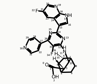 O=C(O)[C@H]1C2CCC(CC2)[C@@H]1Nc1nc(-c2c[nH]c3ncc(F)cc23)nc(-c2ccncc2)c1F